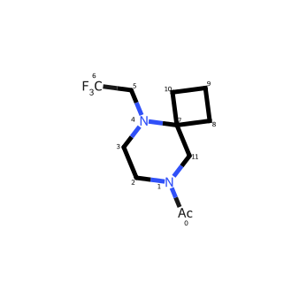 CC(=O)N1CCN(CC(F)(F)F)C2(CCC2)C1